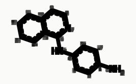 Nc1ccc(Nc2nccc3ccccc23)cc1